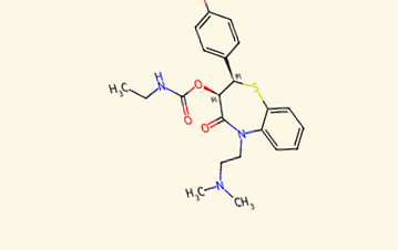 CCNC(=O)O[C@@H]1C(=O)N(CCN(C)C)c2ccccc2S[C@@H]1c1ccc(OC)cc1